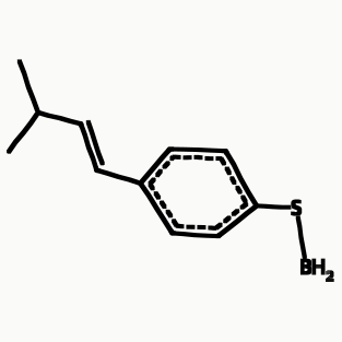 BSc1ccc(/C=C/C(C)C)cc1